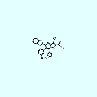 CC(=O)Nc1cccc(-c2c(N3Cc4ccccc4C3)nc3c(C4CC4)c(C(N)=O)nn3c2-c2cn[nH]c2)c1